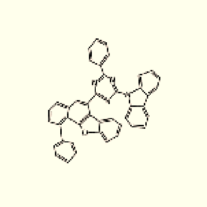 c1ccc(-c2nc(-c3cc4cccc(-c5ccccc5)c4c4oc5ccccc5c34)nc(-n3c4ccccc4c4ccccc43)n2)cc1